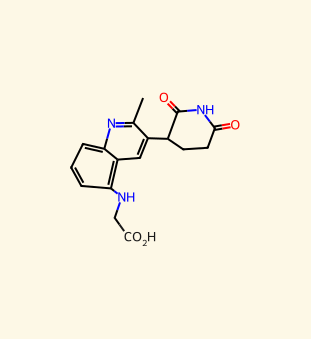 Cc1nc2cccc(NCC(=O)O)c2cc1C1CCC(=O)NC1=O